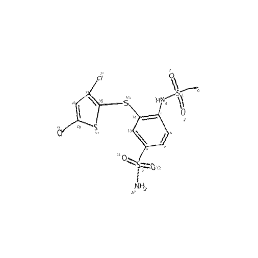 CS(=O)(=O)Nc1ccc(S(N)(=O)=O)cc1Sc1sc(Cl)cc1Cl